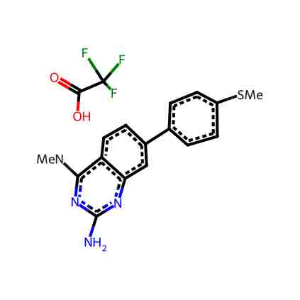 CNc1nc(N)nc2cc(-c3ccc(SC)cc3)ccc12.O=C(O)C(F)(F)F